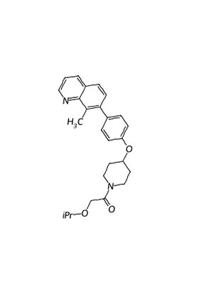 Cc1c(-c2ccc(OC3CCN(C(=O)COC(C)C)CC3)cc2)ccc2cccnc12